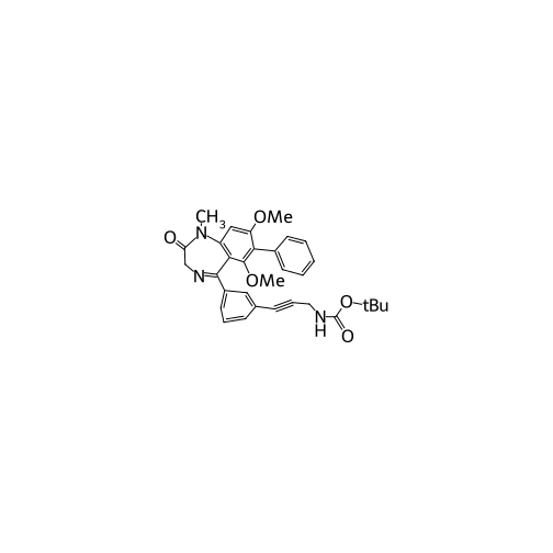 COc1cc2c(c(OC)c1-c1ccccc1)C(c1cccc(C#CCNC(=O)OC(C)(C)C)c1)=NCC(=O)N2C